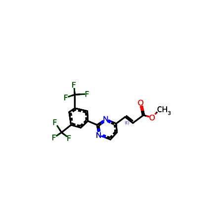 COC(=O)/C=C/c1ccnc(-c2cc(C(F)(F)F)cc(C(F)(F)F)c2)n1